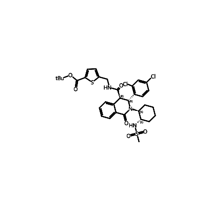 CC(C)(C)OC(=O)c1ccc(CNC(=O)[C@@H]2c3ccccc3C(=O)N([C@H]3CCCC[C@@H]3NS(C)(=O)=O)[C@H]2c2ccc(Cl)cc2Cl)s1